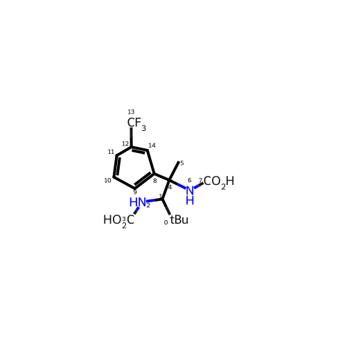 CC(C)(C)C(NC(=O)O)C(C)(NC(=O)O)c1cccc(C(F)(F)F)c1